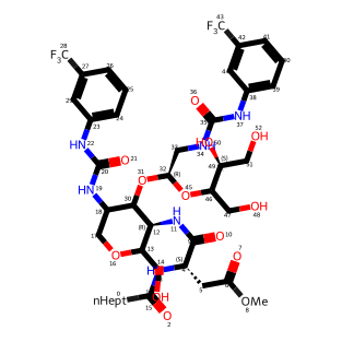 CCCCCCCC(=O)N[C@@H](CC(=O)OC)C(=O)N[C@H]1C(CO)OCC(NC(=O)Nc2cccc(C(F)(F)F)c2)C1O[C@@H](CNC(=O)Nc1cccc(C(F)(F)F)c1)OC(CO)[C@@H](O)CO